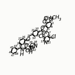 COc1ccc(C(Cc2c(Cl)cncc2Cl)OC(=O)c2ccc(COc3cccc(C(NC(=O)O[C@H]4CN5CCC4CC5)c4ccccc4)c3)cc2)cc1OC